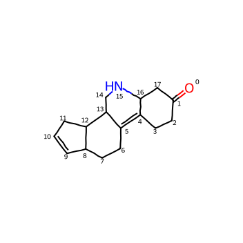 O=C1CCC2=C3CCC4C=CCC4C3CNC2C1